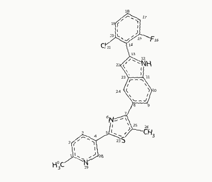 Cc1ccc(-c2nc(-c3ccc4[nH]c(-c5c(F)cccc5Cl)cc4c3)c(C)s2)cn1